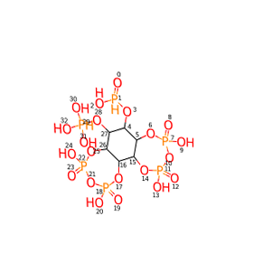 O=[PH](O)OC1C2OP(=O)(O)OP(=O)(O)OC2C2OP(=O)(O)OP(=O)(O)OC2C1O[PH](O)(O)O